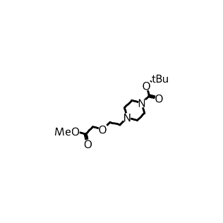 COC(=O)COCCN1CCN(C(=O)OC(C)(C)C)CC1